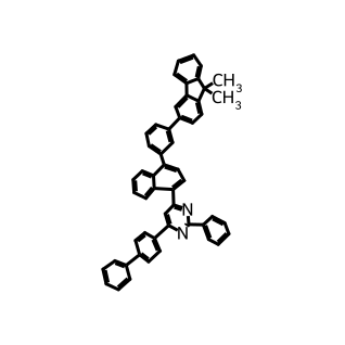 CC1(C)c2ccccc2-c2cc(-c3cccc(-c4ccc(-c5cc(-c6ccc(-c7ccccc7)cc6)nc(-c6ccccc6)n5)c5ccccc45)c3)ccc21